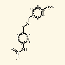 C[CH]C(=O)Nc1ccc(CNCc2ccc(OC)cc2)cc1